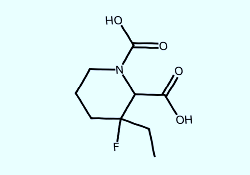 CCC1(F)CCCN(C(=O)O)C1C(=O)O